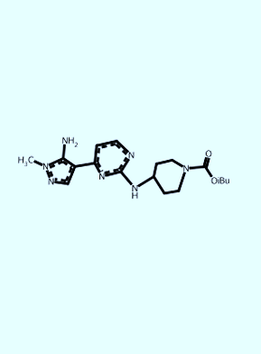 CC(C)COC(=O)N1CCC(Nc2nccc(-c3cnn(C)c3N)n2)CC1